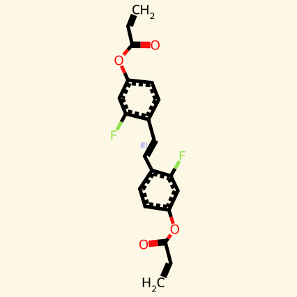 C=CC(=O)Oc1ccc(/C=C/c2ccc(OC(=O)C=C)cc2F)c(F)c1